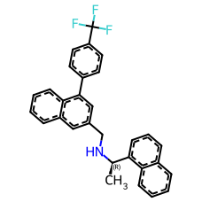 C[C@@H](NCc1cc(-c2ccc(C(F)(F)F)cc2)c2ccccc2c1)c1cccc2ccccc12